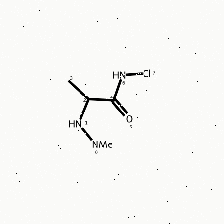 CNNC(C)C(=O)NCl